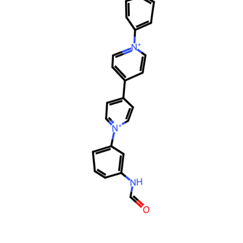 O=CNc1cccc(-[n+]2ccc(-c3cc[n+](-c4ccccc4)cc3)cc2)c1